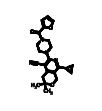 CC1(C)Cc2c(C#N)c(N3CCN(C(=O)c4ccco4)CC3)nc(C3CC3)c2CO1